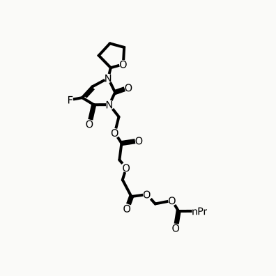 CCCC(=O)OCOC(=O)COCC(=O)OCn1c(=O)c(F)cn(C2CCCO2)c1=O